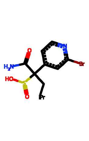 CC(C)CC(C(N)=O)(c1ccnc(Br)c1)S(=O)O